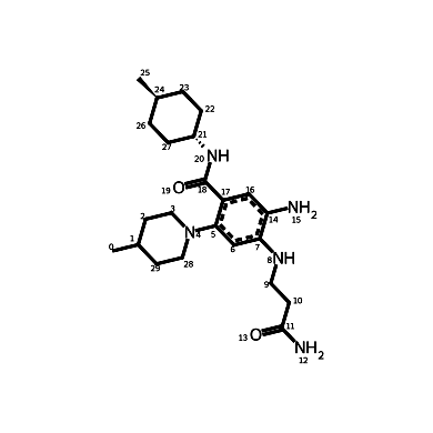 CC1CCN(c2cc(NCCC(N)=O)c(N)cc2C(=O)N[C@H]2CC[C@H](C)CC2)CC1